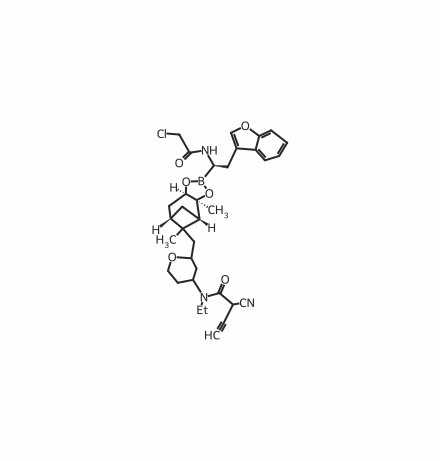 C#CC(C#N)C(=O)N(CC)C1CCOC(CC2(C)[C@@H]3C[C@H]4OB([C@H](Cc5coc6ccccc56)NC(=O)CCl)O[C@@]4(C)[C@H]2C3)C1